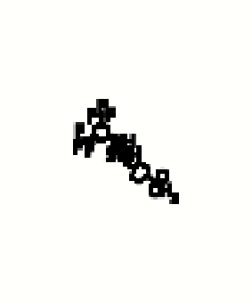 CC(=O)C1CCC(CNC(=S)Nc2cc(C(F)(F)F)cc(C(F)(F)F)c2)CC1